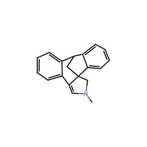 CN1C=C2c3ccccc3C3CC2(C1)c1ccccc13